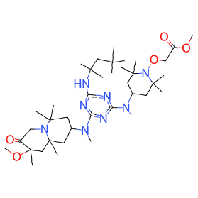 COC(=O)CON1C(C)(C)CC(N(C)c2nc(NC(C)(C)CC(C)(C)C)nc(N(C)C3CC(C)(C)N4CC(=O)C(C)(OC)CC4(C)C3)n2)CC1(C)C